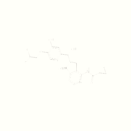 Cc1cc(C(C)N2Cc3c(ccnc3NC(=O)C3CC3)C2=O)ncc1OCC(F)F